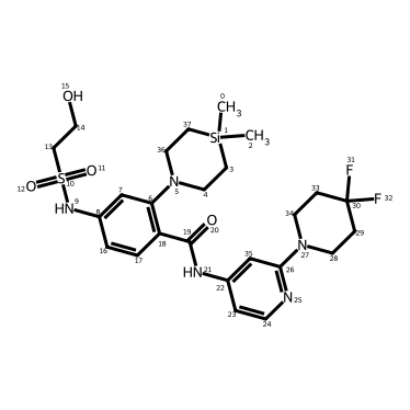 C[Si]1(C)CCN(c2cc(NS(=O)(=O)CCO)ccc2C(=O)Nc2ccnc(N3CCC(F)(F)CC3)c2)CC1